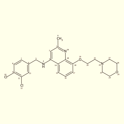 Cc1cc(NCc2ccc(Cl)c(Cl)c2)c2cccc(OCCN3CCOCC3)c2n1